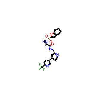 C[C@H](NS(=O)(=O)c1cc2ccccc2o1)C(=O)NCc1cc(-c2ccc(C(F)(F)F)nc2)ccn1